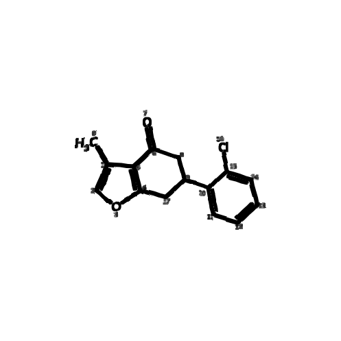 Cc1coc2c1C(=O)CC(c1ccccc1Cl)C2